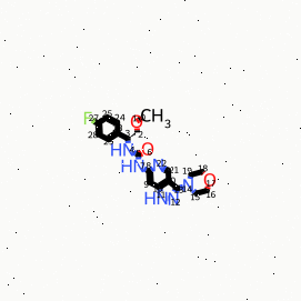 COC[C@H](NC(=O)Nc1cc2[nH]nc(N3CCOCC3)c2cn1)c1ccc(F)cc1